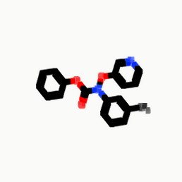 O=C(Oc1ccccc1)N(Oc1cccnc1)c1cccc(C(F)(F)F)c1